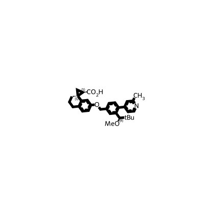 CO[C@@H](c1cc(COc2ccc3c(c2)[C@@]2(CCC3)C[C@@H]2C(=O)O)ccc1-c1ccnc(C)c1)C(C)(C)C